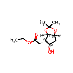 CCOC(=O)C[C@@H]1[C@@H]2OC(C)(C)O[C@@H]2C[C@H]1O